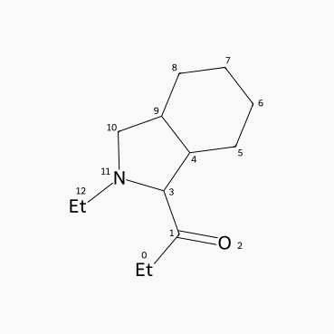 CCC(=O)C1C2CCCCC2CN1CC